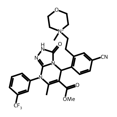 COC(=O)C1=C(C)N(c2cccc(C(F)(F)F)c2)c2n[nH]c(=O)n2C1c1ccc(C#N)cc1CC[N+]1(C)CCOCC1